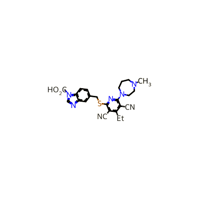 CCc1c(C#N)c(SCc2ccc3c(c2)ncn3C(=O)O)nc(N2CCCN(C)CC2)c1C#N